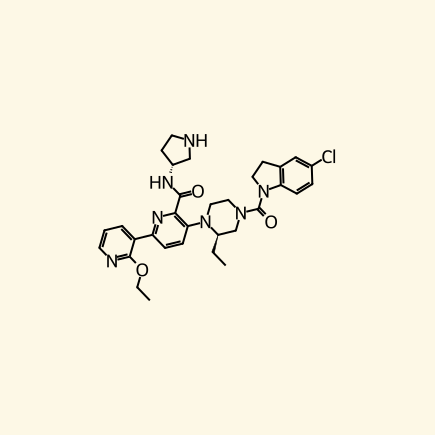 CCOc1ncccc1-c1ccc(N2CCN(C(=O)N3CCc4cc(Cl)ccc43)C[C@H]2CC)c(C(=O)N[C@@H]2CCNC2)n1